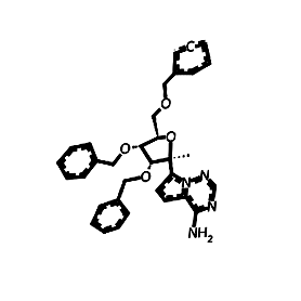 C[C@@]1(c2ccc3c(N)ncnn23)O[C@H](COCc2ccccc2)[C@@H](OCc2ccccc2)[C@H]1OCc1ccccc1